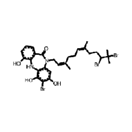 CC(=CCN1C(=O)c2cccc(O)c2Nc2c1cc(O)c(Br)c2O)CCC=C(C)CCC(Br)C(C)(C)Br